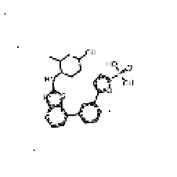 CC1CC(O)CCC1Nc1nc2cccc(-c3cccc(-c4ccc(P(=O)(O)O)o4)c3)c2s1